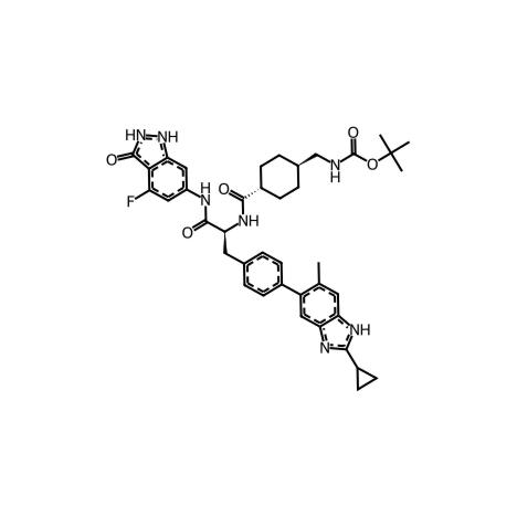 Cc1cc2[nH]c(C3CC3)nc2cc1-c1ccc(C[C@H](NC(=O)[C@H]2CC[C@H](CNC(=O)OC(C)(C)C)CC2)C(=O)Nc2cc(F)c3c(=O)[nH][nH]c3c2)cc1